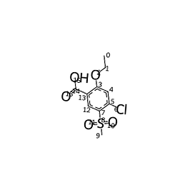 CCOc1cc(Cl)c(S(C)(=O)=O)cc1C(=O)O